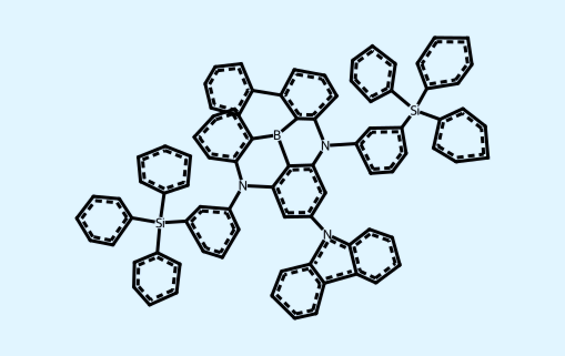 c1ccc(-c2cccc3c2B2c4ccccc4N(c4cccc([Si](c5ccccc5)(c5ccccc5)c5ccccc5)c4)c4cc(-n5c6ccccc6c6ccccc65)cc(c42)N3c2cccc([Si](c3ccccc3)(c3ccccc3)c3ccccc3)c2)cc1